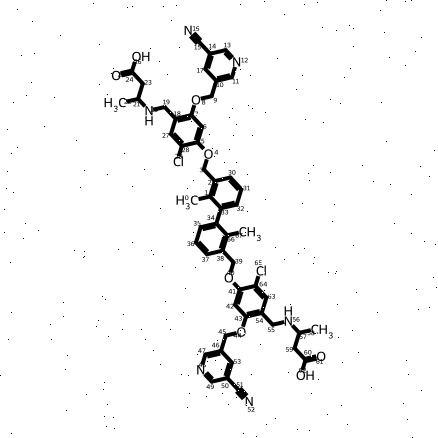 Cc1c(COc2cc(OCc3cncc(C#N)c3)c(CNC(C)CC(=O)O)cc2Cl)cccc1-c1cccc(COc2cc(OCc3cncc(C#N)c3)c(CNC(C)CC(=O)O)cc2Cl)c1C